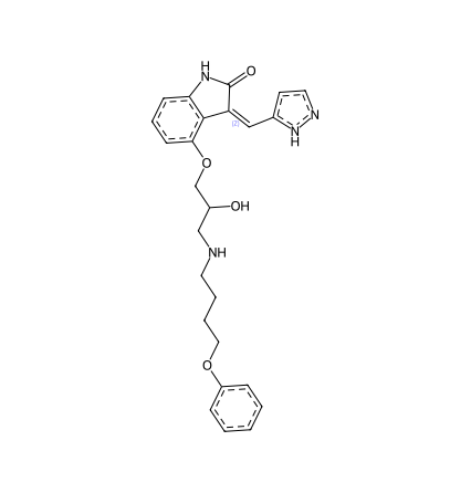 O=C1Nc2cccc(OCC(O)CNCCCCOc3ccccc3)c2/C1=C/c1ccn[nH]1